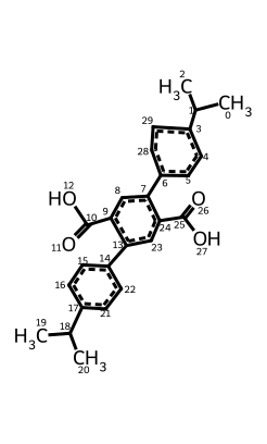 CC(C)c1ccc(-c2cc(C(=O)O)c(-c3ccc(C(C)C)cc3)cc2C(=O)O)cc1